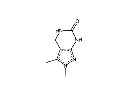 Cc1c2c(nn1C)NC(=O)NC2